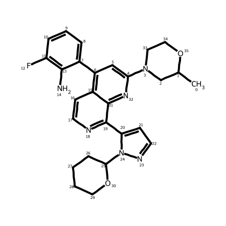 CC1CN(c2cc(-c3cccc(F)c3N)c3ccnc(-c4ccnn4C4CCCCO4)c3n2)CCO1